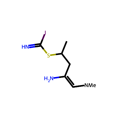 CN/C=C(/N)CC(C)SC(=N)I